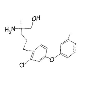 Cc1cccc(Oc2ccc(CCC[C@@](C)(N)CO)c(Cl)c2)c1